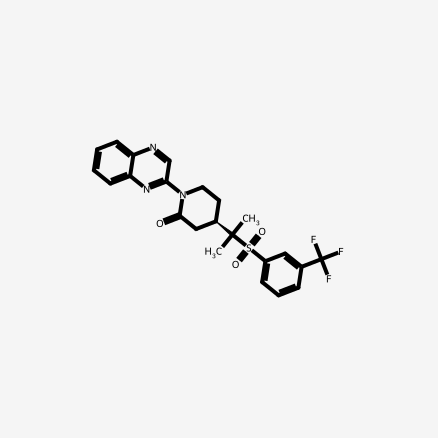 CC(C)([C@@H]1CCN(c2cnc3ccccc3n2)C(=O)C1)S(=O)(=O)c1cccc(C(F)(F)F)c1